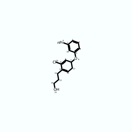 CCCc1cccc(OC2C=C(Cl)C(CCCO)=CC2)c1